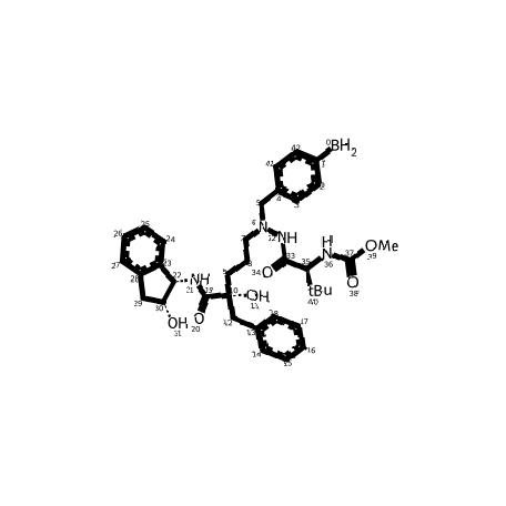 Bc1ccc(CN(CCC[C@@](O)(Cc2ccccc2)C(=O)N[C@H]2c3ccccc3C[C@H]2O)NC(=O)[C@@H](NC(=O)OC)C(C)(C)C)cc1